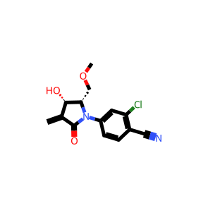 C=C1C(=O)N(c2ccc(C#N)c(Cl)c2)[C@@H](COC)[C@H]1O